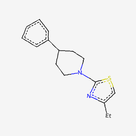 CCc1csc(N2CCC(c3ccccc3)CC2)n1